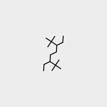 CCC(CCC(CC)C(C)(C)C)C(C)(C)C